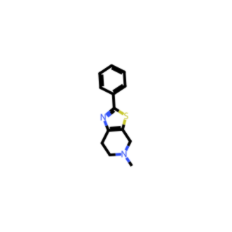 CN1CCc2nc(-c3ccccc3)sc2C1